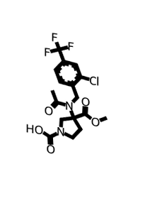 COC(=O)C1(N(Cc2ccc(C(F)(F)F)cc2Cl)C(C)=O)CCN(C(=O)O)C1